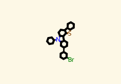 Brc1cccc(-c2ccc3c4c5sc6ccccc6c5ccc4n(-c4ccccc4)c3c2)c1